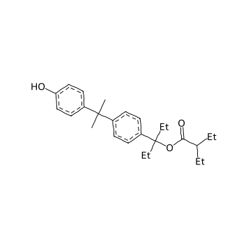 CCC(CC)C(=O)OC(CC)(CC)c1ccc(C(C)(C)c2ccc(O)cc2)cc1